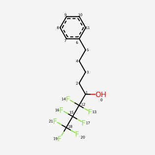 OC(CCCCc1ccccc1)C(F)(F)C(F)(F)C(F)(F)F